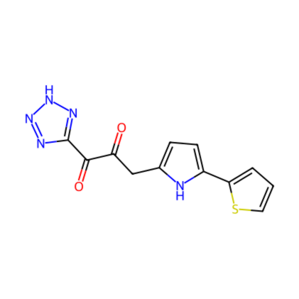 O=C(Cc1ccc(-c2cccs2)[nH]1)C(=O)c1nn[nH]n1